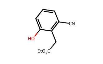 CCOC(=O)Cc1c(O)cccc1C#N